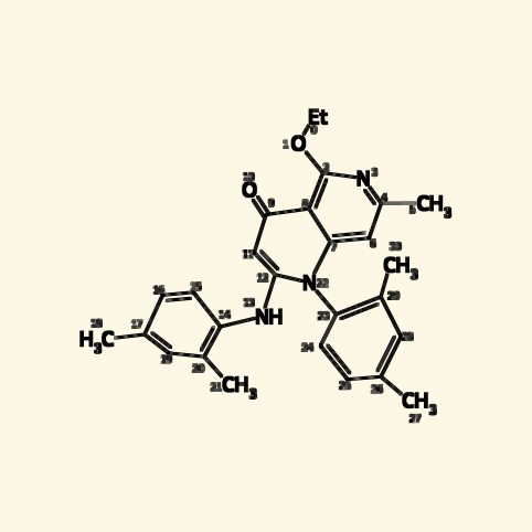 CCOc1nc(C)cc2c1c(=O)cc(Nc1ccc(C)cc1C)n2-c1ccc(C)cc1C